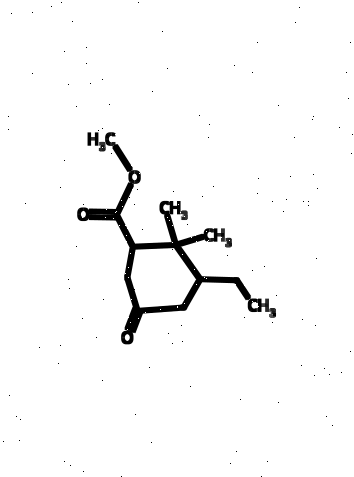 CCC1CC(=O)CC(C(=O)OC)C1(C)C